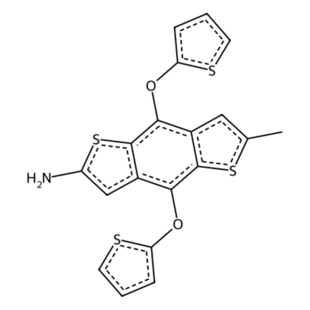 Cc1cc2c(Oc3cccs3)c3sc(N)cc3c(Oc3cccs3)c2s1